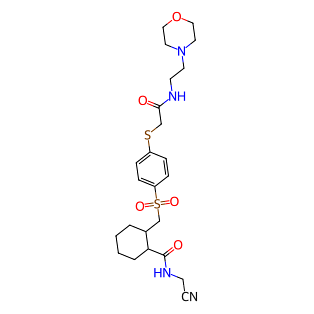 N#CCNC(=O)C1CCCCC1CS(=O)(=O)c1ccc(SCC(=O)NCCN2CCOCC2)cc1